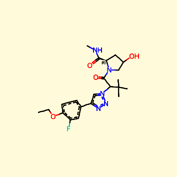 CCOc1ccc(-c2cn(C(C(=O)N3CC(O)C[C@@H]3C(=O)NC)C(C)(C)C)nn2)cc1F